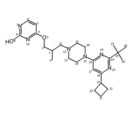 CC(COc1ccnc(O)n1)CN1CCN(c2cc(C3CCC3)nc(C(C)(C)C)n2)CC1